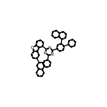 c1ccc(-c2nc(-c3ccc(-c4ccccc4)c(-c4cccc5ccccc45)c3)nc(-c3cccc4oc5ccc(-c6ccc7ccccc7c6)cc5c34)n2)cc1